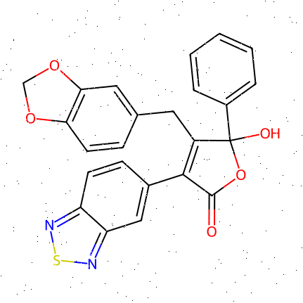 O=C1OC(O)(c2ccccc2)C(Cc2ccc3c(c2)OCO3)=C1c1ccc2nsnc2c1